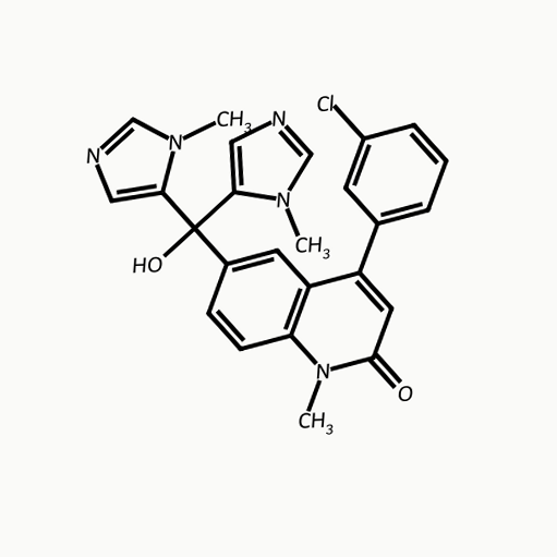 Cn1cncc1C(O)(c1ccc2c(c1)c(-c1cccc(Cl)c1)cc(=O)n2C)c1cncn1C